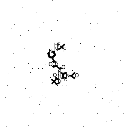 CC(F)(F)CNc1cc(-c2nc(C(=O)Nc3cn(C4COC4)nc3N3CCC(C)(C)C3=O)co2)ccn1